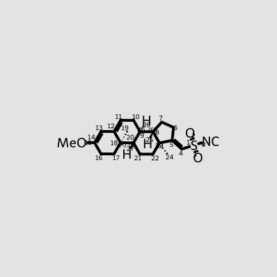 [C-]#[N+]S(=O)(=O)C=C1CC[C@H]2[C@@H]3CC=C4C=C(OC)CC[C@]4(C)[C@H]3CC[C@]12C